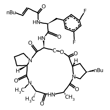 CCCC/C=C/C(=O)N[C@@H](Cc1cc(F)cc(F)c1)C(=O)N[C@H]1COC(=O)[C@@H]2C[C@@H](CCCC)CN2C(=O)[C@H](C)NC(=O)[C@H](C)N(C)C(=O)[C@@H]2CCCN2C1=O